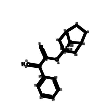 C=C(C(=O)OC1CC2CCC(C1)N2C)c1ccccc1